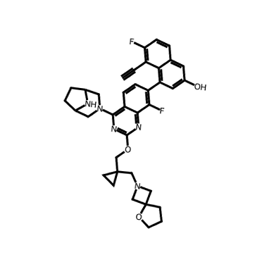 C#Cc1c(F)ccc2cc(O)cc(-c3ccc4c(N5CC6CCC(C5)N6)nc(OCC5(CN6CC7(CCCO7)C6)CC5)nc4c3F)c12